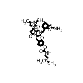 C=CCN(C(=O)NC)N1CC(=O)N2[C@@H](Cc3ccc(OC(=O)NCCN(C)C)cc3)C(=O)N(Cc3cccc4sc(N)nc34)C[C@@H]21